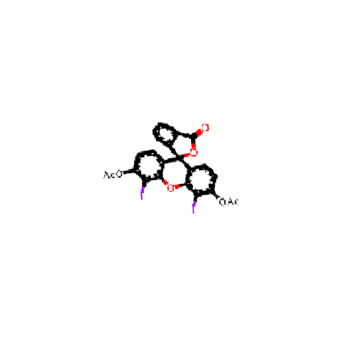 CC(=O)Oc1ccc2c(c1I)Oc1c(ccc(OC(C)=O)c1I)C21OC(=O)c2ccccc21